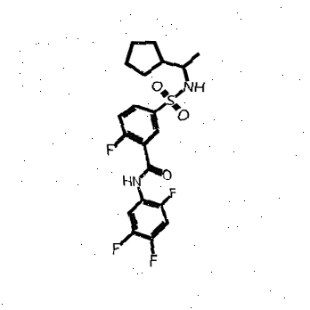 CC(NS(=O)(=O)c1ccc(F)c(C(=O)Nc2cc(F)c(F)cc2F)c1)C1CCCC1